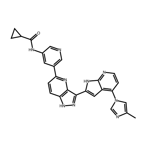 Cc1cn(-c2ccnc3[nH]c(-c4n[nH]c5ccc(-c6cncc(NC(=O)C7CC7)c6)nc45)cc23)cn1